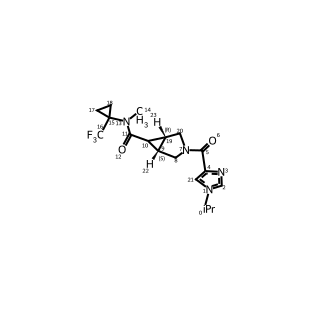 CC(C)n1cnc(C(=O)N2C[C@@H]3C(C(=O)N(C)C4(C(F)(F)F)CC4)[C@@H]3C2)c1